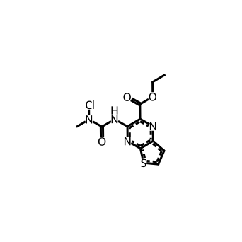 CCOC(=O)c1nc2ccsc2nc1NC(=O)N(C)Cl